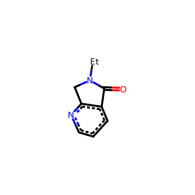 CCN1Cc2ncccc2C1=O